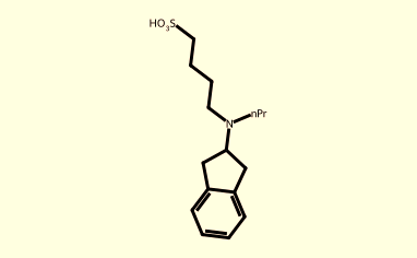 CCCN(CCCCS(=O)(=O)O)C1Cc2ccccc2C1